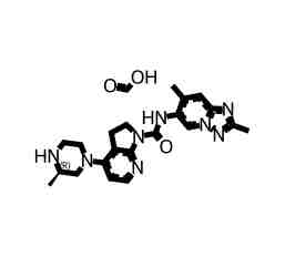 Cc1nc2cc(C)c(NC(=O)N3CCc4c(N5CCN[C@H](C)C5)ccnc43)cn2n1.O=CO